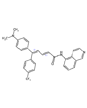 CN(C)c1ccc(/C(=C/C=C/C(=O)Nc2cccc3cnccc23)c2ccc(C(F)(F)F)cc2)cc1